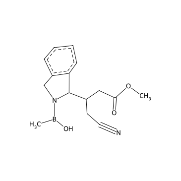 COC(=O)CC(CC#N)C1c2ccccc2CN1B(C)O